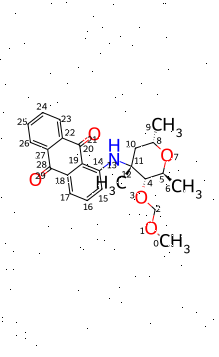 COCO[C@H]1[C@H](C)O[C@@H](C)C[C@@]1(C)Nc1cccc2c1C(=O)c1ccccc1C2=O